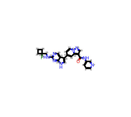 O=C(Nc1cccnc1)c1cnn2ccc(-c3c[nH]c4nc(NCC5(F)CCC5)ncc34)cc12